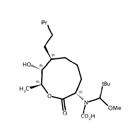 COC(N(C(=O)O)[C@H]1CCC[C@H](CCC(C)C)[C@@H](O)[C@H](C)OC1=O)C(C)(C)C